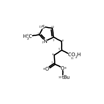 Cc1nc(CC(CC(=O)OC(C)(C)C)C(=O)O)cs1